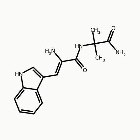 CC(C)(NC(=O)/C(N)=C/c1c[nH]c2ccccc12)C(N)=O